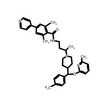 Cc1cccc(OC(c2ccc(C(F)(F)F)cc2)C2CCN(C(C)CCNC(=O)c3c(C)cc(-c4ccncc4)cc3C)CC2)n1